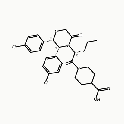 CCC[C@H](C(=O)N1CCC(C(=O)O)CC1)N1C(=O)CO[C@@H](c2ccc(Cl)cc2)[C@H]1c1ccc(Cl)cc1